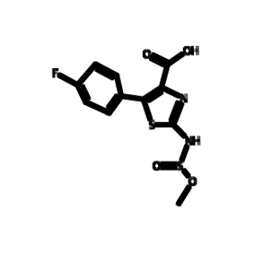 COS(=O)Nc1nc(C(=O)O)c(-c2ccc(F)cc2)s1